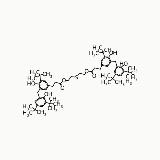 CC(C)(C)c1cc(Cc2cc(CCC(=O)OCCSCCOC(=O)CCc3cc(Cc4cc(C(C)(C)C)cc(C(C)(C)C)c4O)c(O)c(C(C)(C)C)c3)cc(C(C)(C)C)c2O)c(O)c(C(C)(C)C)c1